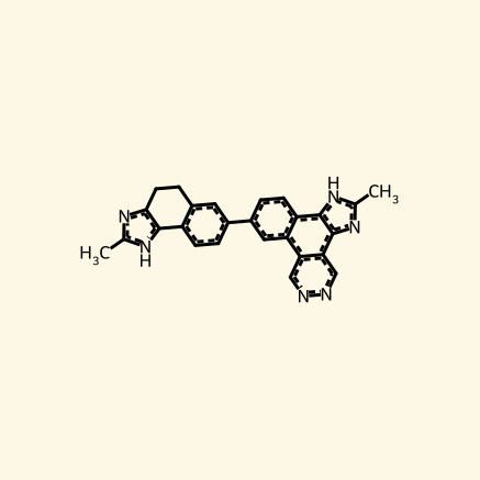 Cc1nc2c([nH]1)-c1ccc(-c3ccc4c(c3)c3cnncc3c3nc(C)[nH]c43)cc1CC2